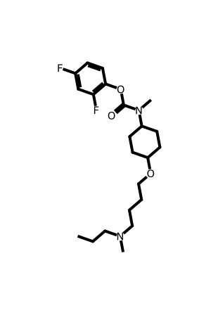 CCCN(C)CCCCOC1CCC(N(C)C(=O)Oc2ccc(F)cc2F)CC1